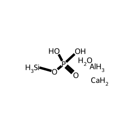 O.O=P(O)(O)O[SiH3].[AlH3].[CaH2]